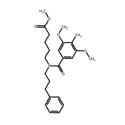 COC(=O)CCCCN(CCCc1ccccc1)C(=O)c1cc(OC)c(C)c(OC)c1